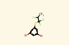 FC(C(F)(F)F)C(F)(F)Sc1cc(Br)[c]c(Br)c1